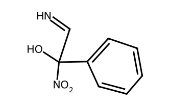 N=CC(O)(c1ccccc1)[N+](=O)[O-]